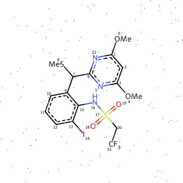 COc1cc(OC)nc(C(SC)c2cccc(I)c2NS(=O)(=O)CC(F)(F)F)n1